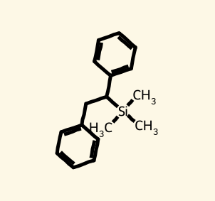 C[Si](C)(C)C(Cc1ccccc1)c1ccccc1